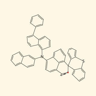 c1ccc(-c2cccc3c(N(c4ccc5ccccc5c4)c4ccc5c6c(cccc46)C4(c6ccccc6Sc6ccccc64)c4ccccc4-5)cccc23)cc1